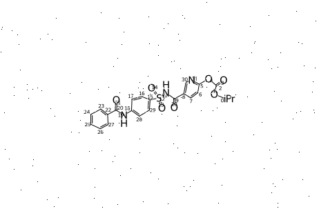 CC(C)OC(=O)Oc1ccc(C(=O)NS(=O)(=O)c2ccc(NC(=O)c3ccccc3)cc2)cn1